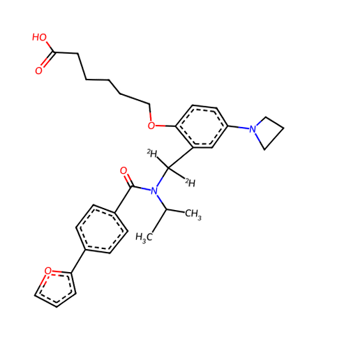 [2H]C([2H])(c1cc(N2CCC2)ccc1OCCCCCC(=O)O)N(C(=O)c1ccc(-c2ccco2)cc1)C(C)C